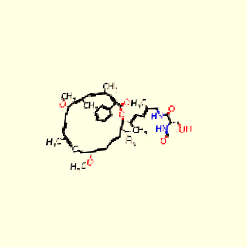 CO[C@@H]1/C=C(C)/C=C/[C@@H](C)/C=C(\c2ccccc2)C(=O)O[C@H](/C(C)=C/C=C(\C)CNC(=O)[C@H](CO)NC=O)[C@@H](C)/C=C/C=C/[C@@H](OC)CC/C=C(C)\C=C\C1